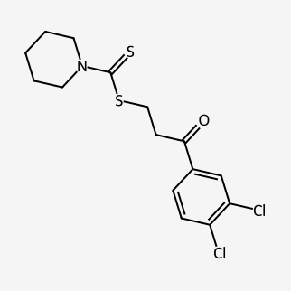 O=C(CCSC(=S)N1CCCCC1)c1ccc(Cl)c(Cl)c1